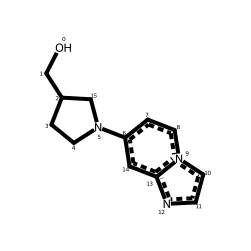 OCC1CCN(c2ccn3ccnc3c2)C1